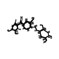 Cc1ccc(Nc2ccc(CCC3CC(C)C(C)CC3C)c(C)c2)cc1C